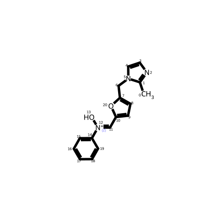 Cc1nccn1Cc1ccc(/C=[N+](\O)c2ccccc2)o1